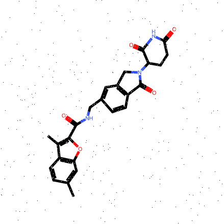 Cc1ccc2c(C)c(C(=O)NCc3ccc4c(c3)CN(C3CCC(=O)NC3=O)C4=O)oc2c1